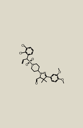 C=CC(c1cccc(Cl)c1Cl)S(=O)(=O)N1CCC(N2N=C(c3ccc(OC)c(OC)c3)C(C)(C)C2C=O)CC1